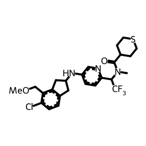 COCc1c(Cl)ccc2c1CC(Nc1ccc(C(N(C)C(=O)C3CCSCC3)C(F)(F)F)nc1)C2